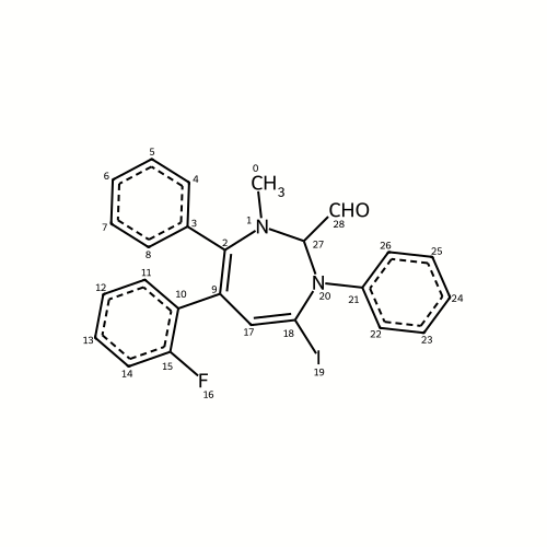 CN1C(c2ccccc2)=C(c2ccccc2F)C=C(I)N(c2ccccc2)C1C=O